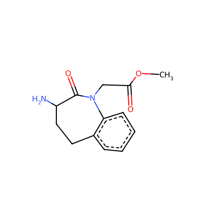 COC(=O)CN1C(=O)C(N)CCc2ccccc21